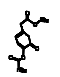 CCCCC(=O)OC1=CC=C(CC(=O)OC(C)(C)C)CC1=O